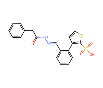 O=C(Cc1ccccc1)N/N=C/c1ccccc1-c1ccsc1S(=O)(=O)O